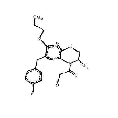 COCCOc1nc2c(cc1Cc1ccc(F)cc1)N(C(=O)CCl)C(C)CO2